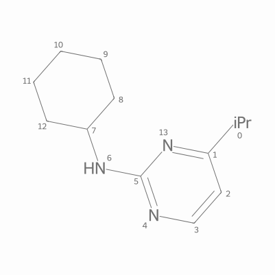 CC(C)c1ccnc(NC2CCCCC2)n1